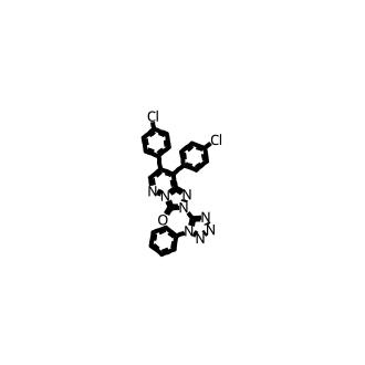 O=c1n(-c2nnnn2-c2ccccc2)nc2c(-c3ccc(Cl)cc3)c(-c3ccc(Cl)cc3)cnn12